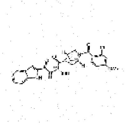 COc1ccc(C(=O)N2C[C@@H]3C[C@H]2CN3C(=O)[C@@H](NC(=O)c2cc3ccccc3[nH]2)C(C)(C)C)c(Cl)c1